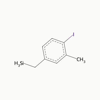 Cc1cc(C[SiH3])ccc1I